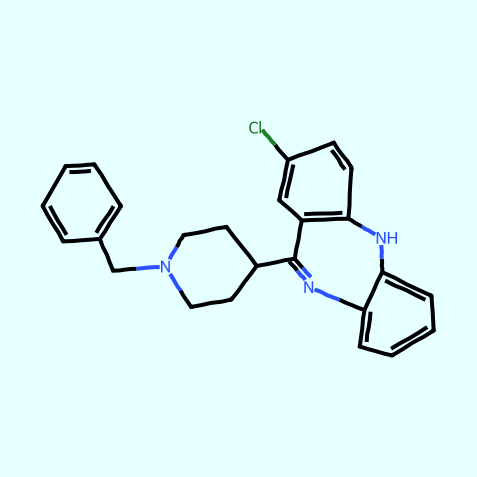 Clc1ccc2c(c1)C(C1CCN(Cc3ccccc3)CC1)=Nc1ccccc1N2